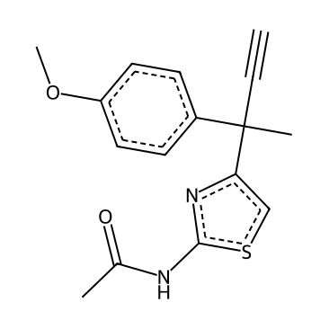 C#CC(C)(c1ccc(OC)cc1)c1csc(NC(C)=O)n1